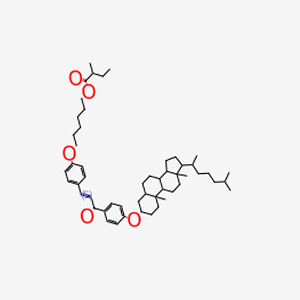 CCC(C)C(=O)OCCCCCCOc1ccc(/C=C/C(=O)c2ccc(OC3CCC4(C)C(CCC5C4CCC4(C)C(C(C)CCCC(C)C)CCC54)C3)cc2)cc1